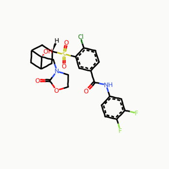 O=C(Nc1ccc(F)c(F)c1)c1ccc(Cl)c(S(=O)(=O)[C@H]2CC3CC(C2)[C@]3(O)CN2CCOC2=O)c1